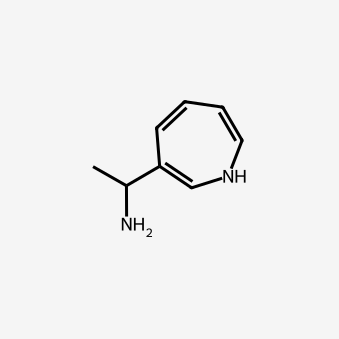 CC(N)C1=CNC=CC=C1